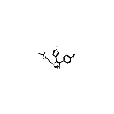 CC(C)OCCn1cnc(-c2ccc(F)cc2)c1-c1cc[nH]c1